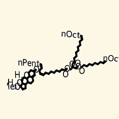 CCCCC/C=C\C(/C=C\CCCCCCCC(=O)OCC(COC(=O)CCCCCCC/C=C\CCCCCCCC)OC(=O)CCCCCCC/C=C\CCCCCCCC)OC1C=C2CCC3C(CCC4(C)C(OC)CCC34)C2(C)CC1